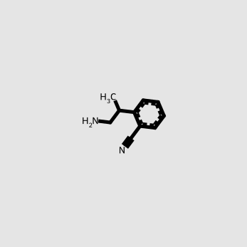 CC(CN)c1ccccc1C#N